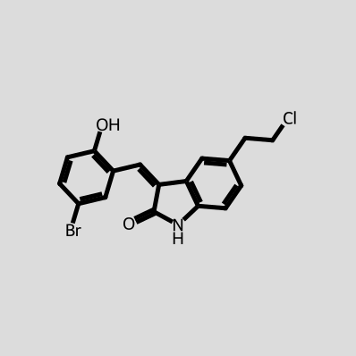 O=C1Nc2ccc(CCCl)cc2C1=Cc1cc(Br)ccc1O